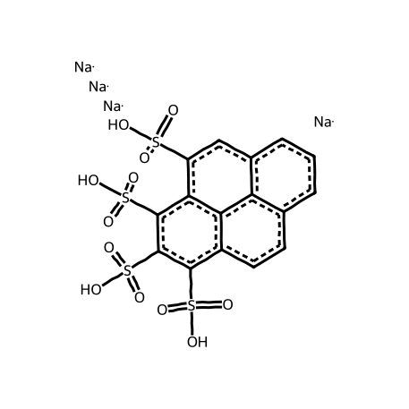 O=S(=O)(O)c1c(S(=O)(=O)O)c2ccc3cccc4cc(S(=O)(=O)O)c(c1S(=O)(=O)O)c2c34.[Na].[Na].[Na].[Na]